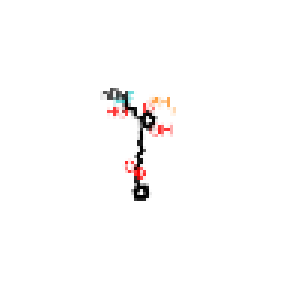 CCCCC(F)(F)[C@H](O)CC[C@@H]1[C@@H](CCCCCCC(=O)OCc2ccccc2)[C@@H](O)C[C@H]1OP